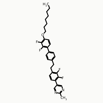 CCCCCCCCOc1ccc(-c2ccc(CCc3ccc(-c4cnc(C)nc4)c(F)c3F)cc2)c(F)c1F